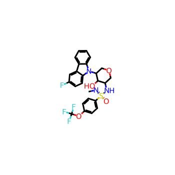 CN=S(=O)(NC1COCC(n2c3ccccc3c3cc(F)ccc32)C1O)c1ccc(OC(F)(F)F)cc1